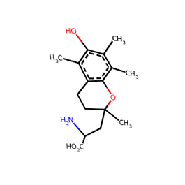 Cc1c(C)c2c(c(C)c1O)CCC(C)(CC(N)C(=O)O)O2